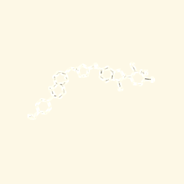 O=C1CCC(N2Cc3cc(O[C@H]4CCN(Cc5ccc6nc([C@H]7CC[C@H](O)CC7)ccc6c5)C4)ccc3C2=O)C(=O)N1